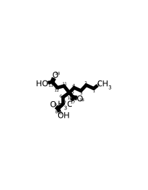 CCCCCC(CCC(=O)O)(CCC(=O)O)C(C)=O